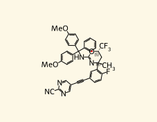 COc1ccc(C(NC2=N[C@@](C)(c3cc(C#Cc4cnc(C#N)nc4)ccc3F)C[C@@H](C(F)(F)F)O2)(c2ccccc2)c2ccc(OC)cc2)cc1